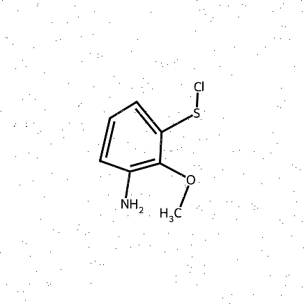 COc1c(N)cccc1SCl